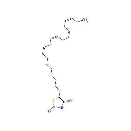 CC/C=C\C/C=C\C/C=C\C/C=C\CCCCCCCC1SC(=O)NC1=O